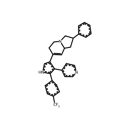 FC(F)(F)c1ccc(-c2[nH]cc(C3=CC4CC(c5ccccc5)CN4CC3)c2-c2ccncc2)cc1